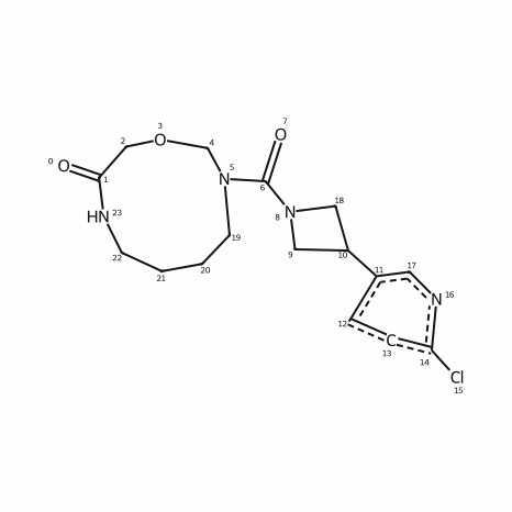 O=C1COCN(C(=O)N2CC(c3ccc(Cl)nc3)C2)CCCCN1